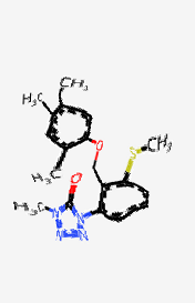 CSc1cccc(-n2nnn(C)c2=O)c1COc1cc(C)c(C)cc1C